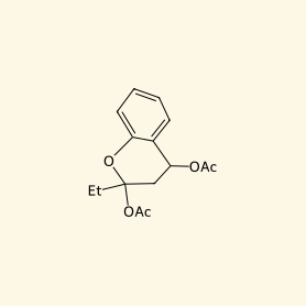 CCC1(OC(C)=O)CC(OC(C)=O)c2ccccc2O1